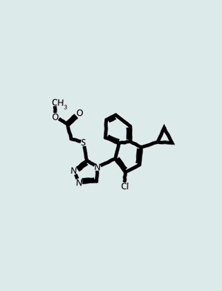 COC(=O)CSc1nncn1-c1c(Cl)cc(C2CC2)c2ccccc12